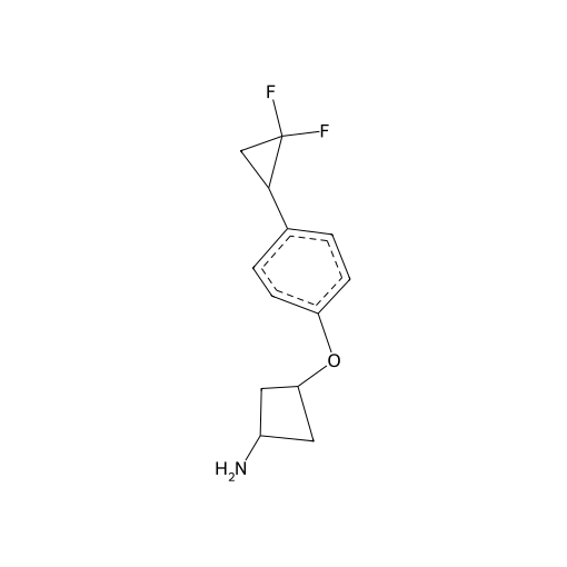 NC1CC(Oc2ccc(C3CC3(F)F)cc2)C1